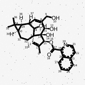 CC1=C[C@]23C(O)[C@@H](C=C(CO)[C@@H](O)[C@]2(O)[C@H]1OC(=O)c1nccc2ccccc12)[C@H]1[C@@H](C[C@H]3C)C1(C)C